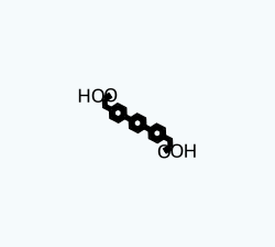 O=C(O)Cc1ccc(-c2ccc(-c3ccc(CC(=O)O)cc3)cc2)cc1